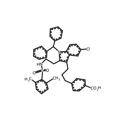 Cc1cccc(C)c1S(=O)(=O)NCCc1c(CCCc2ccc(C(=O)O)cc2)c2cc(Cl)ccc2n1C(c1ccccc1)c1ccccc1